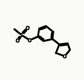 CS(=O)(=O)Oc1cccc(C2=CCOC2)c1